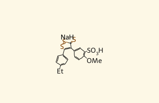 CCc1ccc(-c2ssc(=S)c2-c2ccc(OC)c(S(=O)(=O)O)c2)cc1.[NaH]